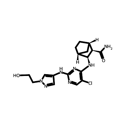 NC(=O)[C@@H]1[C@H]2CC[C@H](C2)[C@@H]1Nc1nc(Nc2cnn(CCO)c2)ncc1Cl